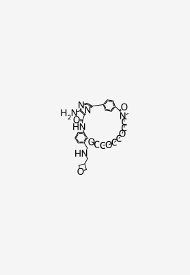 CN1CCOCCOCCOc2c(CNCC3COC3)cccc2NC(=O)c2nc(cnc2N)-c2ccc(cc2)C1=O